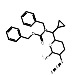 CC1OC(C(C2CC2)N(Cc2ccccc2)C(=O)OCc2ccccc2)CCC1N=[N+]=[N-]